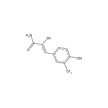 NC(=O)/C(S)=C/c1ccc(O)c(C(F)(F)F)c1